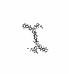 CC(C)c1ccc(N(c2ccc3c(c2)oc2cc4ccccc4cc23)c2ccc3c(c2)oc2cc4cc5c(cc4cc23)oc2cc(N(c3ccc(C(C)C)cc3)c3ccc4c(c3)oc3cc6ccccc6cc34)ccc25)cc1